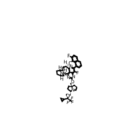 Cc1c(F)ccc2cccc(-c3nc4c5c(nc(OC[C@@]67CCCN6[C@H](COC(C6CC6)C(F)(F)F)CC7)nc5c3F)N3C[C@@H]5CC[C@@H](N5)[C@H]3CC4)c12